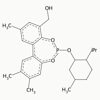 Cc1cc(CO)c2op(OC3CC(C)CCC3C(C)C)oc3cc(C)c(C)cc3c2c1